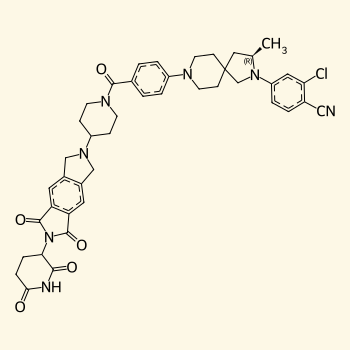 C[C@@H]1CC2(CCN(c3ccc(C(=O)N4CCC(N5Cc6cc7c(cc6C5)C(=O)N(C5CCC(=O)NC5=O)C7=O)CC4)cc3)CC2)CN1c1ccc(C#N)c(Cl)c1